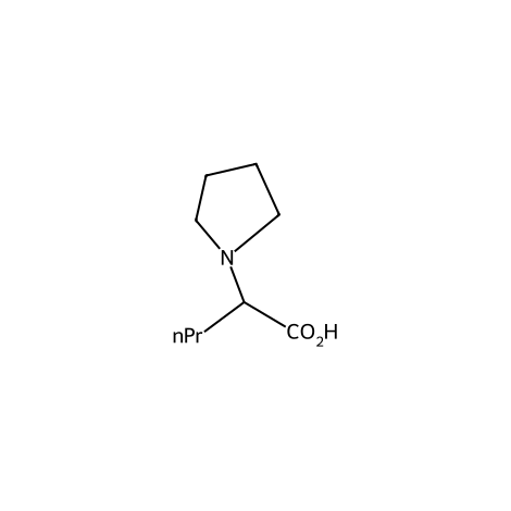 CCCC(C(=O)O)N1CCCC1